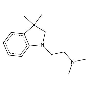 CN(C)CCN1CC(C)(C)c2cc[c]cc21